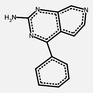 Nc1nc(-c2ccccc2)c2ccncc2n1